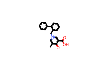 Cc1cn(Cc2ccccc2-c2ccccc2)cc(C(=O)O)c1=O